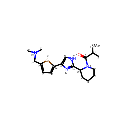 CSC(C)C(=O)N1CCCCC1c1nc(-c2ccc(CN(C)C)s2)c[nH]1